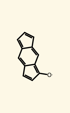 [O]C1=c2cc3c(cc2C=C1)=CC=C3